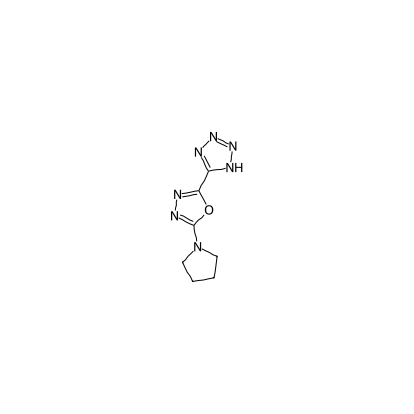 C1CCN(c2nnc(-c3nnn[nH]3)o2)C1